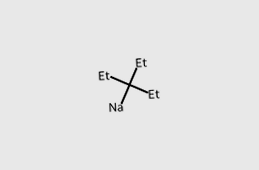 CC[C]([Na])(CC)CC